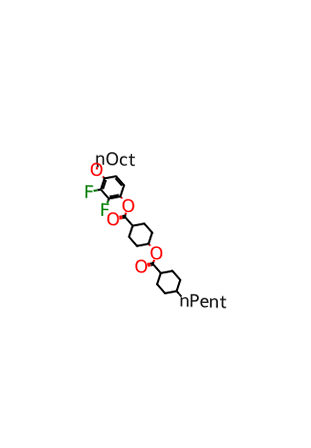 CCCCCCCCOc1ccc(OC(=O)C2CCC(OC(=O)C3CCC(CCCCC)CC3)CC2)c(F)c1F